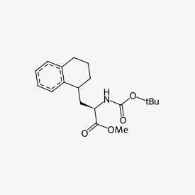 COC(=O)[C@@H](CC1CCCc2ccccc21)NC(=O)OC(C)(C)C